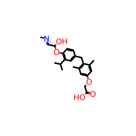 C/N=C/C(O)Oc1ccc(Cc2c(C)cc(OCC(=O)O)cc2C)cc1C(C)C